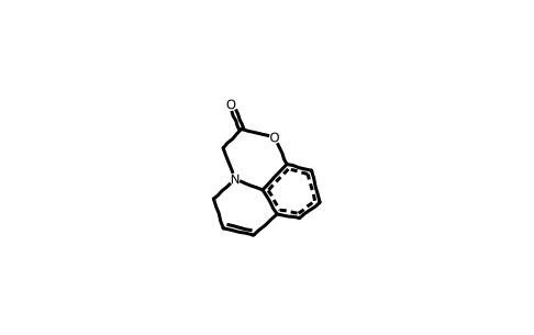 O=C1CN2CC=Cc3cccc(c32)O1